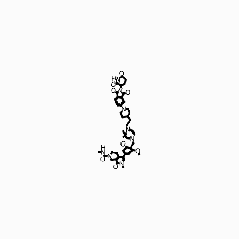 CNC(=O)N1CCc2c(-c3cc(OC)c(CN4CCN(CCC5CCN(c6ccc7c(c6)C(=O)N(C6CCC(=O)NC6=O)C7=O)CC5)C(C)(C)C4)c(OC)c3)cn(C)c(=O)c2C1